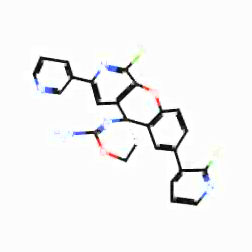 NC1=N[C@]2(CCO1)c1cc(-c3cccnc3F)ccc1Oc1c2cc(-c2cccnc2)nc1F